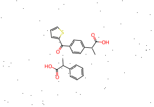 CC(C(=O)O)c1ccc(C(=O)c2cccs2)cc1.CC(C(=O)O)c1ccccc1